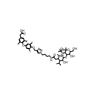 BC1(C)OC(CO)C(O)C(OC(O)C(O)C(C(C)C)C(CC(=O)NCCCCn2cc(COc3c(I)cc(Oc4c(I)cc(CC(=O)O)cc4I)cc3I)nn2)OC)C1NC(C)=O